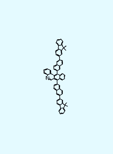 CC1(C)c2ccccc2-c2ccc(-c3ccc4cc(-c5c6ccccc6c(-c6ccc7cc(-c8ccc9c(c8)C(C)(C)c8ccccc8-9)ccc7c6)c6c5cnc5ccccc56)ccc4c3)cc21